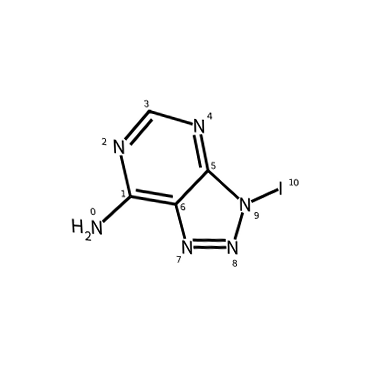 Nc1ncnc2c1nnn2I